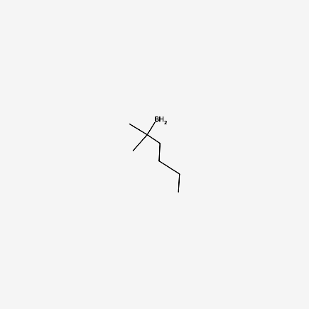 BC(C)(C)CCCC